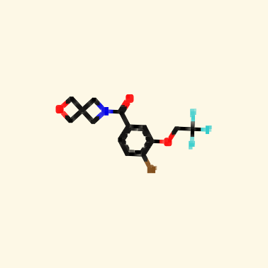 O=C(c1ccc(Br)c(OCC(F)(F)F)c1)N1CC2(COC2)C1